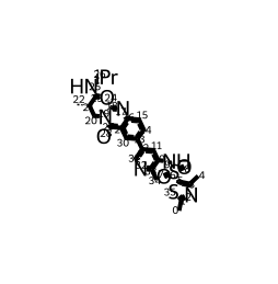 Cc1nc(C)c(S(=O)(=O)Nc2cc(-c3ccc4ncn(C[C@H](C)C(=O)NC(C)C)c(=O)c4c3)cnc2C)s1